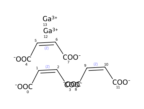 O=C([O-])/C=C\C(=O)[O-].O=C([O-])/C=C\C(=O)[O-].O=C([O-])/C=C\C(=O)[O-].[Ga+3].[Ga+3]